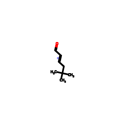 CC(C)(C)C/C=C/C=O